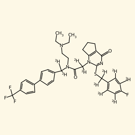 [2H]c1c([2H])c(C([2H])([2H])Sc2nc(=O)c3c(n2C([2H])([2H])C(=O)N(CCN(CC)CC)C([2H])([2H])c2ccc(-c4ccc(C(F)(F)F)cc4)cc2)CCC3)c([2H])c([2H])c1F